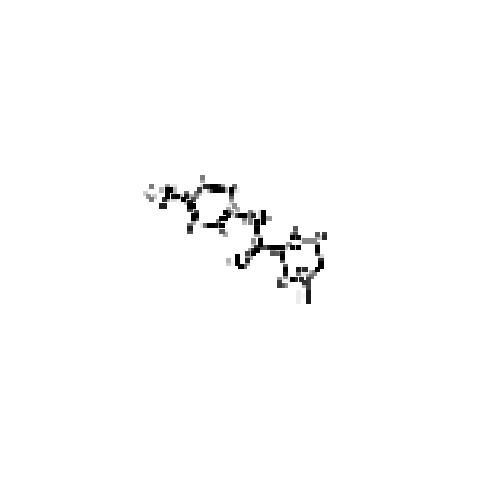 O=C(Nc1ccc([N+](=O)[O-])cc1)C1CNCCO1